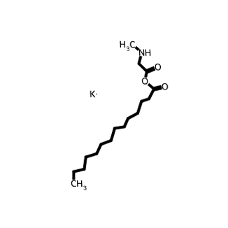 CCCCCCCCCCCCCC(=O)OC(=O)CNC.[K]